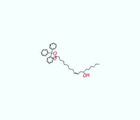 CCCCCC[C@@H](O)C/C=C\CCCCCCCC(=O)OC(c1ccccc1)(c1ccccc1)c1ccccc1